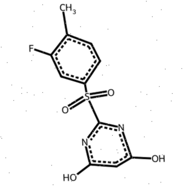 Cc1ccc(S(=O)(=O)c2nc(O)cc(O)n2)cc1F